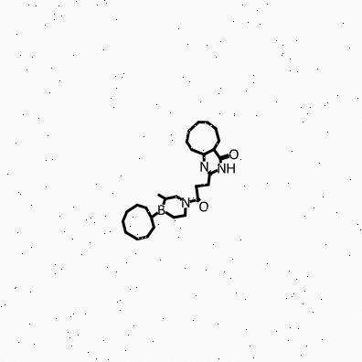 CC1CN(C(=O)CCC2=NC3CCCCCCCC3C(=O)N2)CCB1C1CCCCCCCC1